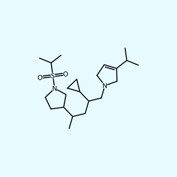 CC(C)C1=CCN(CC(CC(C)C2CCN(S(=O)(=O)C(C)C)C2)C2CC2)C1